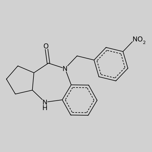 O=C1C2CCCC2Nc2ccccc2N1Cc1cccc([N+](=O)[O-])c1